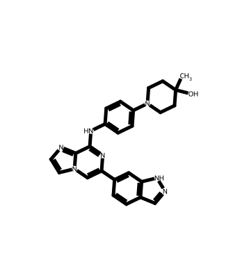 CC1(O)CCN(c2ccc(Nc3nc(-c4ccc5cn[nH]c5c4)cn4ccnc34)cc2)CC1